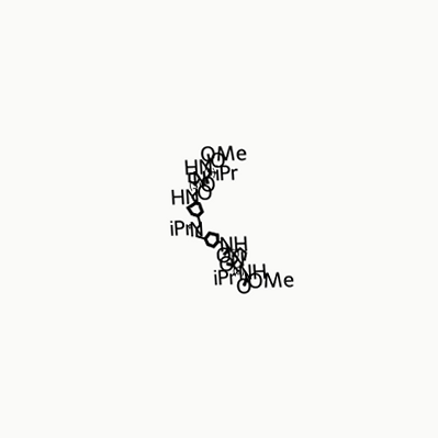 COC(=O)N[C@H](C(=O)N1CCC[C@H]1C(=O)Nc1ccc(CN(Cc2ccc(NC(=O)[C@@H]3CCCN3C(=O)[C@@H](NC(=O)OC)C(C)C)cc2)C(C)C)cc1)C(C)C